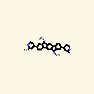 Cc1cc(-c2ccc3c(c2)/c(=N\C#N)c2cc4c(cc23)/c(=N/C#N)c2cc(-c3ccnc(C(F)(F)F)c3)ccc24)ccn1